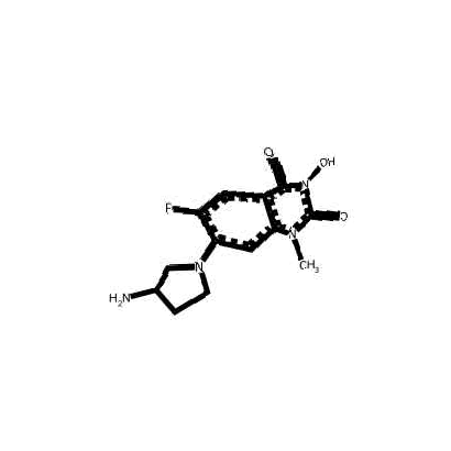 Cn1c(=O)n(O)c(=O)c2cc(F)c(N3CCC(N)C3)cc21